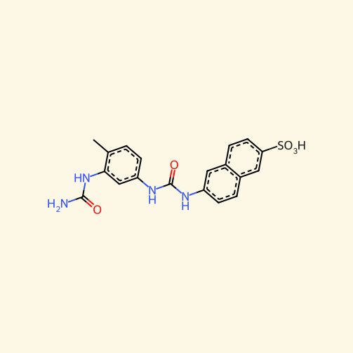 Cc1ccc(NC(=O)Nc2ccc3cc(S(=O)(=O)O)ccc3c2)cc1NC(N)=O